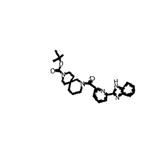 CC(C)(C)OC(=O)N1CCC2(CCCN(C(=O)c3cccc(-c4nc5ccccc5[nH]4)n3)C2)CC1